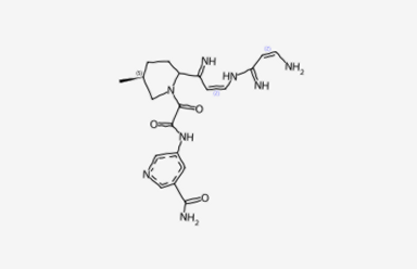 C[C@H]1CCC(C(=N)/C=C\NC(=N)/C=C\N)N(C(=O)C(=O)Nc2cncc(C(N)=O)c2)C1